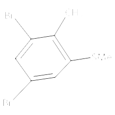 CSc1cc(Br)cc(Br)c1C